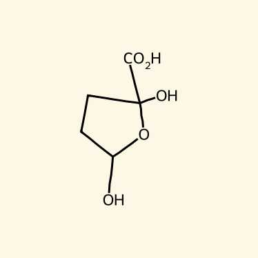 O=C(O)C1(O)CCC(O)O1